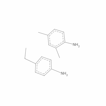 CCc1ccc(N)cc1.Cc1ccc(N)c(C)c1